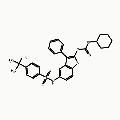 CC(C)(C)c1ccc(S(=O)(=O)Nc2ccc3sc(OC(=O)NC4CCCCC4)c(-c4ccccc4)c3c2)cc1